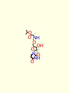 CC(C)OC(=O)[C@H](C)NCOCC1O[C@@H](n2ccc(=O)[nH]c2=O)[C@](C)(F)[C@@H]1O